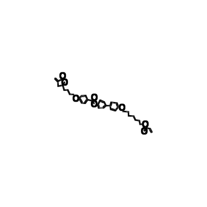 C=CC(=O)OCCCCCCCOc1ccc(-c2ccc(OC(=O)c3ccc(OCCCCC4CC(=C)C(=O)O4)cc3)cc2)cc1